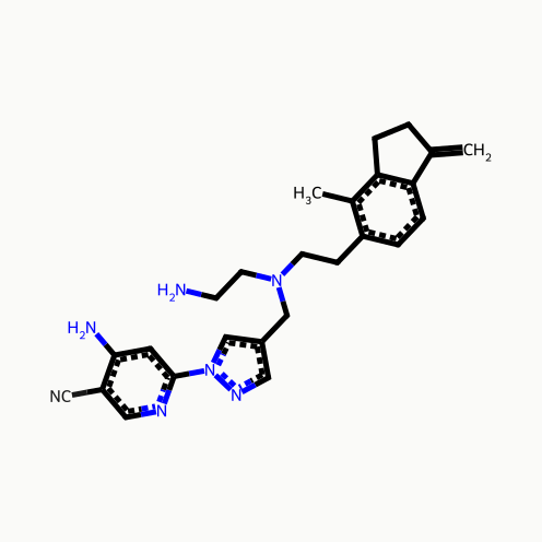 C=C1CCc2c1ccc(CCN(CCN)Cc1cnn(-c3cc(N)c(C#N)cn3)c1)c2C